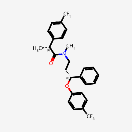 C[C@@H](C(=O)N(C)CC[C@@H](Oc1ccc(C(F)(F)F)cc1)c1ccccc1)c1ccc(C(F)(F)F)cc1